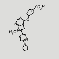 Cn1c(-c2ccc(N3CCCC3)nc2)nc2c(O[C@H]3CCN(C(=O)O)C3)ncnc21